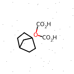 C1CC2CCC1C2.O=C(O)OC(=O)O